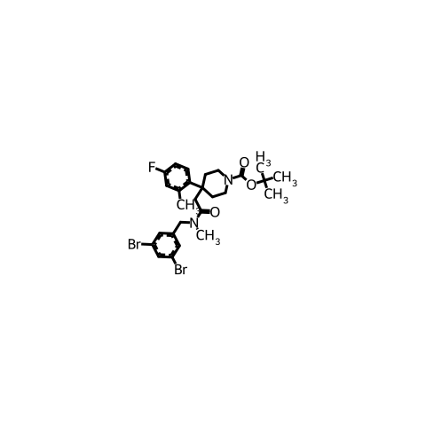 Cc1cc(F)ccc1C1(CC(=O)N(C)Cc2cc(Br)cc(Br)c2)CCN(C(=O)OC(C)(C)C)CC1